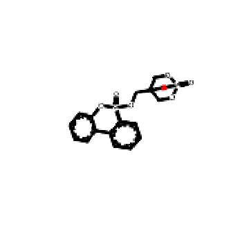 O=P12OCC(COP3(=O)Oc4ccccc4-c4ccccc43)(CO1)CO2